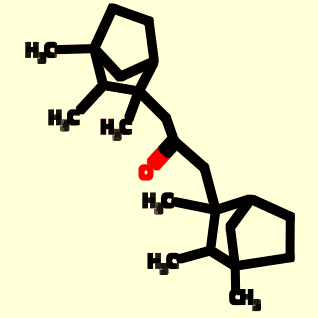 CC1C2(C)CCC(C2)C1(C)CC(=O)CC1(C)C2CCC(C)(C2)C1C